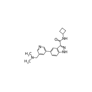 CN(C)Cc1cncc(-c2ccc3[nH]nc(C(=O)NC4CCC4)c3c2)c1